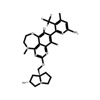 Cc1cc(N)nc(-c2c(Cl)c3c4c(nc(OC[C@@]56CCCN5C[C@H](F)C6)nc4c2F)N(C)CCO3)c1C(F)(F)F